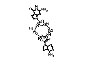 Nc1nc2c(ncn2[C@@H]2O[C@@H]3COS(=O)(=O)N[C@H]4[C@@H](F)[C@H](n5cnc6c(N)ncnc65)O[C@@H]4CO[P@](=O)(S)O[C@@H]2C3)c(=O)[nH]1